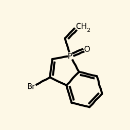 C=CP1(=O)C=C(Br)c2ccccc21